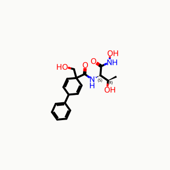 C[C@@H](O)[C@H](NC(=O)C1(CO)C=CC(c2ccccc2)C=C1)C(=O)NO